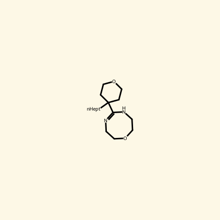 CCCCCCCC1(/C2=N/CCOCCN2)CCOCC1